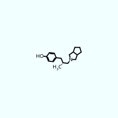 C[C@H](Cc1ccc(O)cc1)CN1CC2CCCC2C1